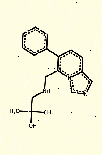 CC(C)(O)CNCc1c(-c2ccccc2)ccc2cncn12